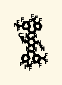 [C-]#[N+]/N=C1/c2nc(-c3ccc(F)c(C(F)(F)F)c3)c(-c3ccc(F)c(C(F)F)c3)nc2/C(=N\C#N)c2nc(-c3ccc(F)c(C(F)(F)F)c3)c(-c3ccc(F)c(C(F)(F)F)c3)nc21